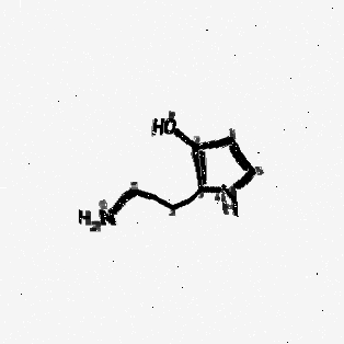 NCCc1[nH]ccc1O